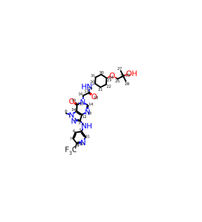 Cn1nc(Nc2ccc(C(F)(F)F)nc2)c2ncn(CC(=O)N[C@H]3CC[C@H](OCC(C)(C)O)CC3)c(=O)c21